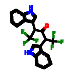 O=C(C(c1c[nH]c2ccccc12)C(F)(F)F)C(c1c[nH]c2ccccc12)C(F)(F)F